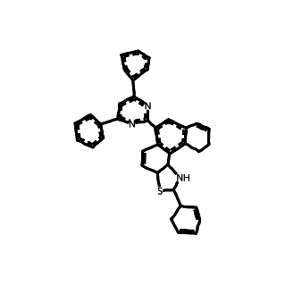 C1=CCC(C2NC3c4c(c(-c5nc(-c6ccccc6)cc(-c6ccccc6)n5)cc5c4CCC=C5)C=CC3S2)C=C1